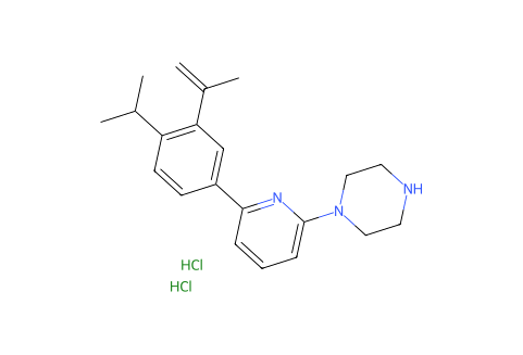 C=C(C)c1cc(-c2cccc(N3CCNCC3)n2)ccc1C(C)C.Cl.Cl